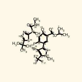 CC(C)OC(=O)c1cc(-c2nn(C)c(C(F)(F)F)c2Br)c(F)cc1Cl.CNC(=O)N(C)c1nnc(C(C)(C)C)s1